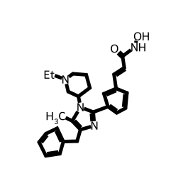 CCN1CCCC(n2c(-c3cccc(C=CC(=O)NO)c3)nc(Cc3ccccc3)c2C)C1